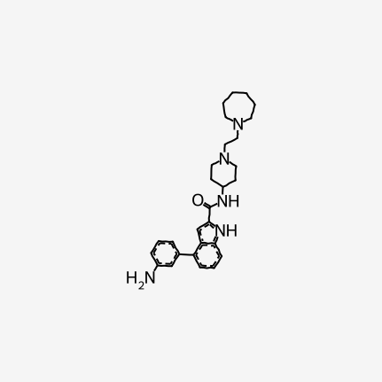 Nc1cccc(-c2cccc3[nH]c(C(=O)NC4CCN(CCN5CCCCCC5)CC4)cc23)c1